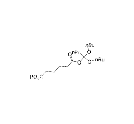 CCCCOC(CCC)(OCCCC)OC(=O)CCCCC(=O)O